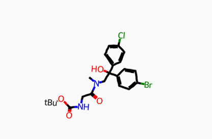 CN(CC(O)(c1ccc(Cl)cc1)c1ccc(Br)cc1)C(=O)CNC(=O)OC(C)(C)C